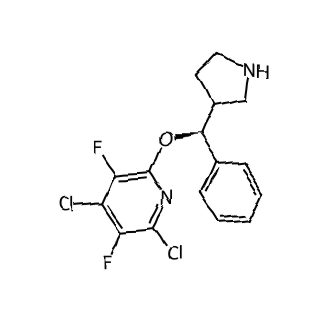 Fc1c(Cl)nc(O[C@H](c2ccccc2)C2CCNC2)c(F)c1Cl